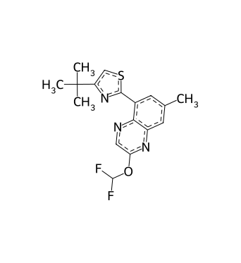 Cc1cc(-c2nc(C(C)(C)C)cs2)c2ncc(OC(F)F)nc2c1